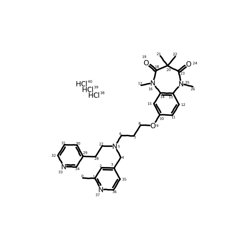 Cc1cc(CN(CCCOc2ccc3c(c2)N(C)C(=O)C(C)(C)C(=O)N3C)CCc2cccnc2)ccn1.Cl.Cl.Cl